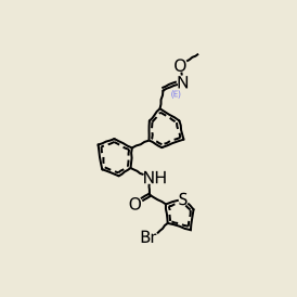 CO/N=C/c1cccc(-c2ccccc2NC(=O)c2sccc2Br)c1